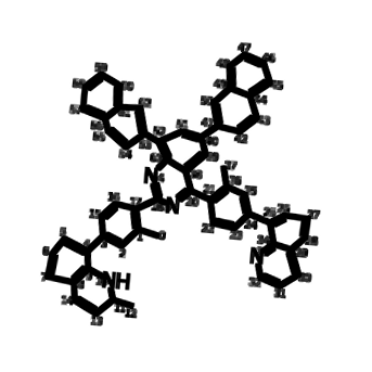 Cc1cc(-c2cccc3c2NC(C)C=C3)ccc1-c1nc(-c2ccc(-c3cccc4cccnc34)cc2C)c2cc(-c3ccc4ccccc4c3)cc(-c3ccc4ccccc4c3)c2n1